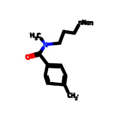 [CH2]c1ccc(C(=O)N(C)CCCCCCCCCCCC)cc1